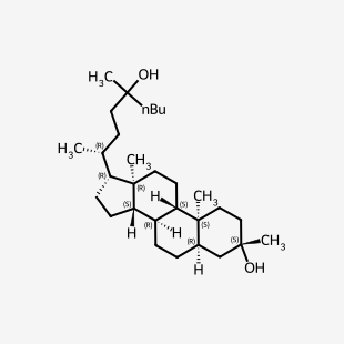 CCCCC(C)(O)CC[C@@H](C)[C@H]1CC[C@H]2[C@@H]3CC[C@@H]4C[C@@](C)(O)CC[C@]4(C)[C@H]3CC[C@]12C